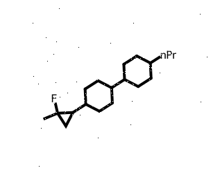 CCCC1CCC(C2CCC(C3CC3(C)F)CC2)CC1